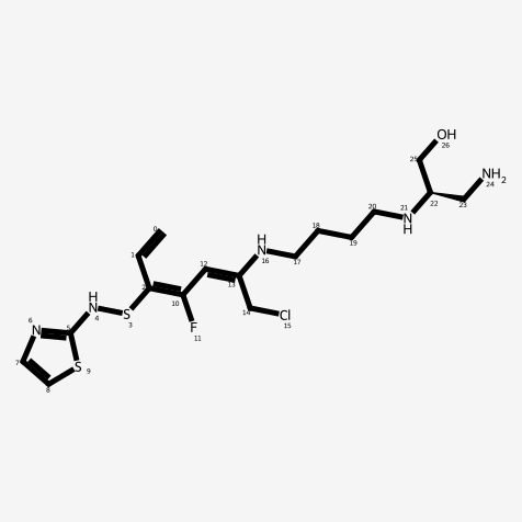 C=C/C(SNc1nccs1)=C(F)\C=C(/CCl)NCCCCN[C@H](CN)CO